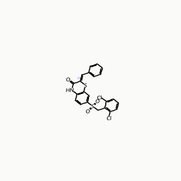 O=C1Nc2ccc(S(=O)(=O)Cc3c(Cl)cccc3Cl)cc2S/C1=C\c1ccccc1